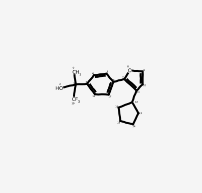 CC(O)(c1ccc(-c2occc2C2CCCC2)cc1)C(F)(F)F